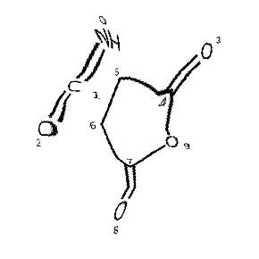 N=C=O.O=C1CCC(=O)O1